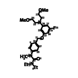 CCN(CC)C(=O)N(C)c1ccc(COc2cc(F)cc(N(CCOC)CCOC)c2)cc1